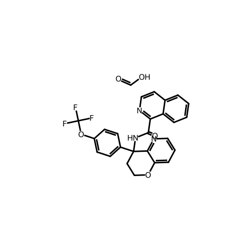 O=C(NC1(c2ccc(OC(F)(F)F)cc2)CCOc2cccnc21)c1nccc2ccccc12.O=CO